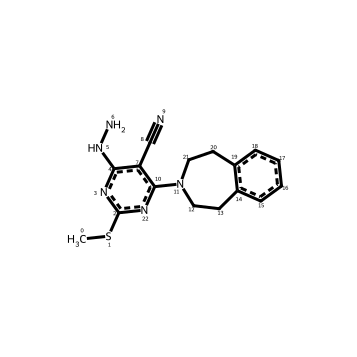 CSc1nc(NN)c(C#N)c(N2CCc3ccccc3CC2)n1